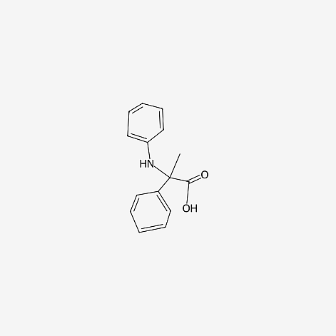 CC(Nc1ccccc1)(C(=O)O)c1ccccc1